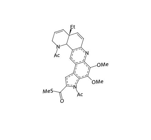 CC[C@]12C=CCN(C(C)=O)C1c1cc3c(nc1C=C2)c(OC)c(OC)c1c3cc(C(=O)SC)n1C(C)=O